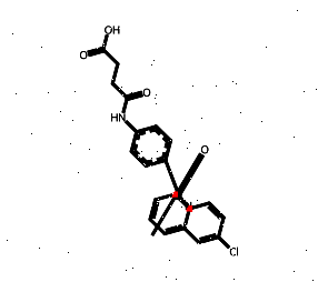 O=C(O)CCC(=O)Nc1ccc(C2=C3C=CC=C4C=C(Cl)C=CC43C[N]C2=O)cc1